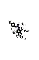 C=c1c(O)c2c(c(C(=O)OC)/c1=C/C(=C\C)Cc1ccc(F)cc1)CN(C)C2=O